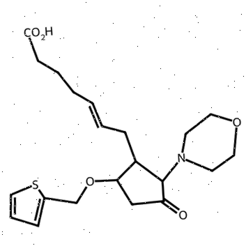 O=C(O)CCC/C=C/CC1C(OCc2cccs2)CC(=O)C1N1CCOCC1